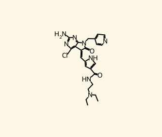 CCN(CC)CCNC(=O)c1c[nH]c(C=C2C(=O)N(Cc3ccncc3)c3nc(N)nc(Cl)c32)c1